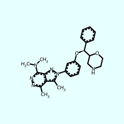 Cc1nnc(N(C)C)c2nn(-c3cccc(O[C@@H](c4ccccc4)C4CNCCO4)c3)c(C)c12